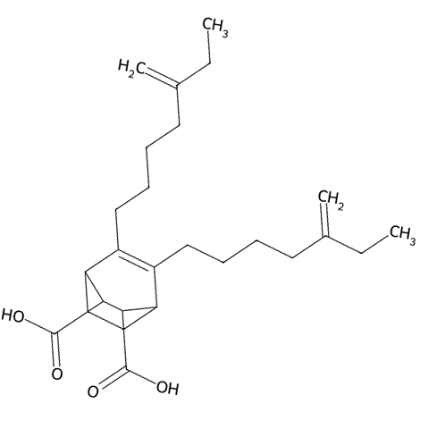 C=C(CC)CCCCC1=C(CCCCC(=C)CC)C2CCC1C(C(=O)O)C2C(=O)O